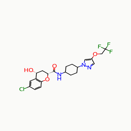 O=C(NC1CCC(n2cc(OCC(F)(F)F)cn2)CC1)[C@H]1C[C@@H](O)c2cc(Cl)ccc2O1